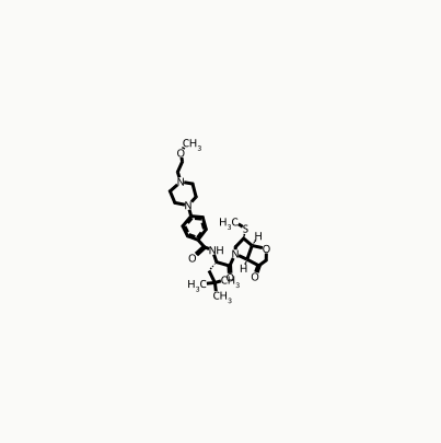 COCCN1CCN(c2ccc(C(=O)N[C@@H](CC(C)(C)C)C(=O)N3C[C@H](SC)[C@H]4OCC(=O)[C@H]43)cc2)CC1